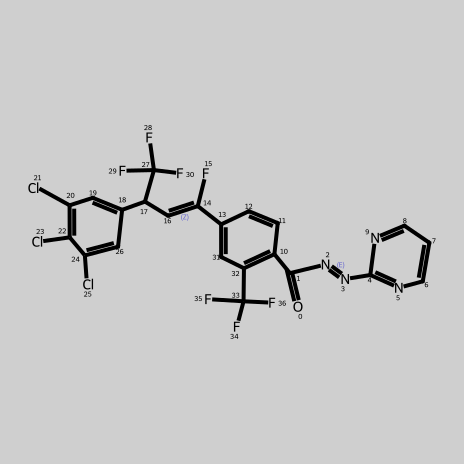 O=C(/N=N/c1ncccn1)c1ccc(/C(F)=C/C(c2cc(Cl)c(Cl)c(Cl)c2)C(F)(F)F)cc1C(F)(F)F